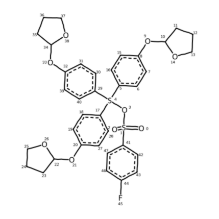 O=S(=O)(OS(c1ccc(OC2CCCO2)cc1)(c1ccc(OC2CCCO2)cc1)c1ccc(OC2CCCO2)cc1)c1ccc(F)cc1